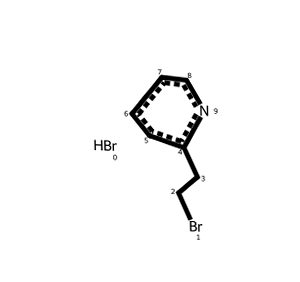 Br.BrCCc1ccccn1